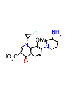 COc1c(N2CCC[C@H](N)C2)ccc2c(=O)c(C(=O)O)cn([C@@H]3C[C@@H]3F)c12